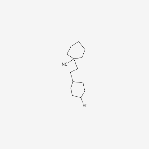 CCC1CCC(CCC2(C#N)CCCCC2)CC1